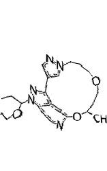 C[C@@H]1CCOCCCn2cc(cn2)-c2nn(C3CCCCO3)c3cnc(cc23)O1